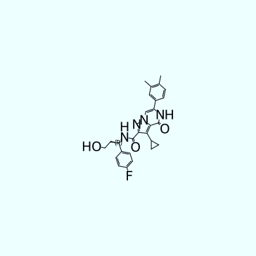 Cc1ccc(-c2cn3nc(C(=O)N[C@H](CCO)c4ccc(F)cc4)c(C4CC4)c3c(=O)[nH]2)cc1C